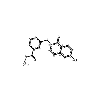 COC(=O)c1ccnc(Cn2ccc3cc(Cl)ccc3c2=O)c1